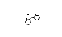 Cc1cccc(C#N)c1C1NCNC2=CCCCC21